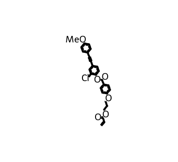 C=CC(=O)OCCCOc1ccc(C(=O)Oc2ccc(C#Cc3ccc(OC)cc3)cc2Cl)cc1